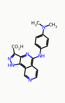 CN(C)c1ccc(Nc2nc3c(C(=O)O)n[nH]c3c3cnccc23)cc1